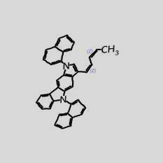 C/C=C\C=C/c1cn(-c2cccc3ccccc23)c2cc3c4ccccc4n(-c4cccc5ccccc45)c3cc12